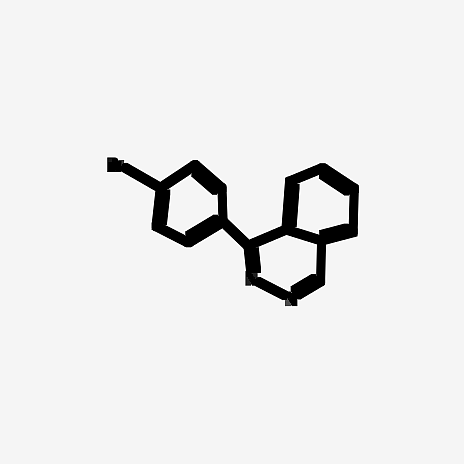 Brc1ccc(-c2nncc3ccccc23)cc1